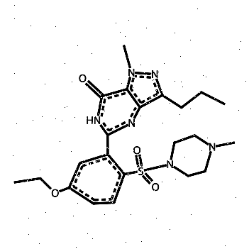 CCCc1nn(C)c2c(=O)[nH]c(-c3cc(OCC)ccc3S(=O)(=O)N3CCN(C)CC3)nc12